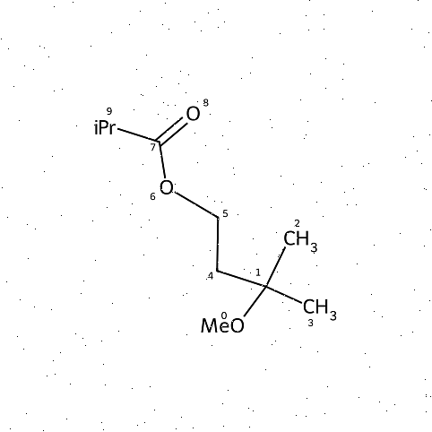 COC(C)(C)CCOC(=O)C(C)C